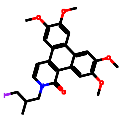 COc1cc2c(cc1OC)c1ccn(CC(C)CI)c(=O)c1c1cc(OC)c(OC)cc21